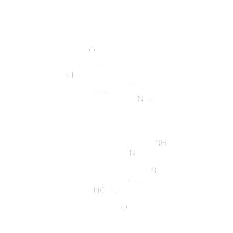 CCOc1cc(CN2CCC(Nc3ncc(C(=O)O)cn3)CC2)ccc1Cl